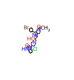 CC(=O)N1CCc2c(c(-c3ccc(Br)cc3)nn2CC(O)CN2CCC(n3c(=O)[nH]c4cccc(Cl)c43)CC2)C1